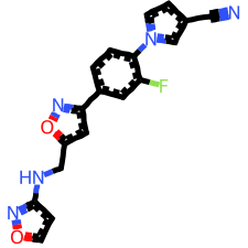 N#Cc1ccn(-c2ccc(-c3cc(CNc4ccon4)on3)cc2F)c1